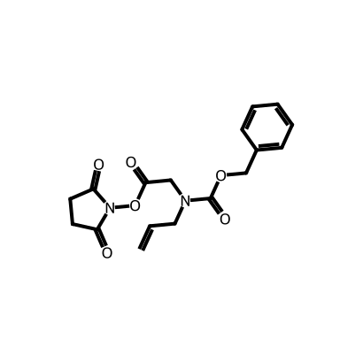 C=CCN(CC(=O)ON1C(=O)CCC1=O)C(=O)OCc1ccccc1